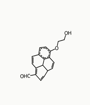 O=CC1=C2C=Cc3ccc(OCCO)c4c3C2C(C=C1)C=C4